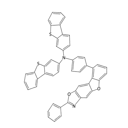 c1ccc(-c2nc3cc4oc5cccc(-c6ccc(N(c7ccc8c(c7)sc7ccccc78)c7ccc8c(c7)sc7ccccc78)cc6)c5c4cc3o2)cc1